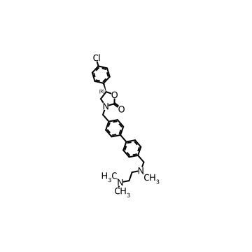 CN(C)CCN(C)Cc1ccc(-c2ccc(CN3C[C@@H](c4ccc(Cl)cc4)OC3=O)cc2)cc1